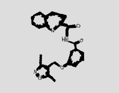 Cc1noc(C)c1COc1cccc(C(=O)NC(=O)c2ccc3ccccc3n2)c1